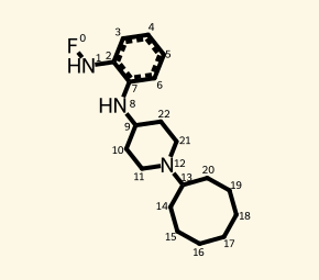 FNc1ccccc1NC1CCN(C2CCCCCCC2)CC1